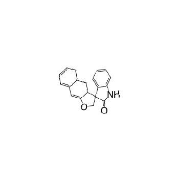 O=C1Nc2ccccc2C12COC1=CC3=CC=CCC3CC12